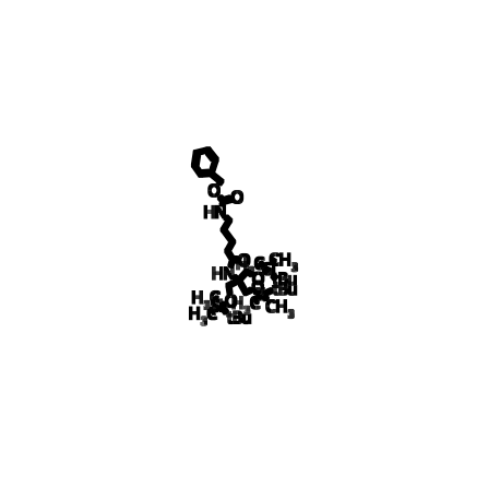 CC(C)(C)[Si](C)(C)OCC(CO[Si](C)(C)C(C)(C)C)(CO[Si](C)(C)C(C)(C)C)NC(=O)CCCCNC(=O)OCc1ccccc1